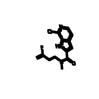 C=C(F)CCN(C)C(=O)c1cc2ccnc(Cl)c2[nH]1